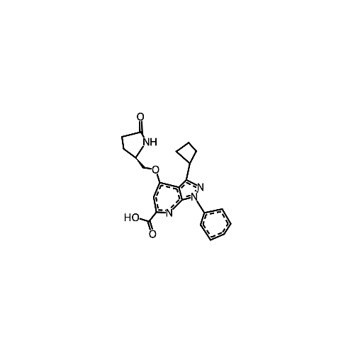 O=C1CC[C@H](COc2cc(C(=O)O)nc3c2c(C2CCC2)nn3-c2ccccc2)N1